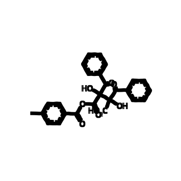 Cc1ccc(C(=O)OC(=O)C(O)(C(=O)c2ccccc2)C(O)(C(=O)O)C(=O)c2ccccc2)cc1